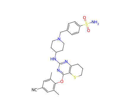 Cc1cc(C#N)cc(C)c1Oc1nc(NC2CCN(Cc3ccc(S(N)(=O)=O)cc3)CC2)nc2c1SCCC2